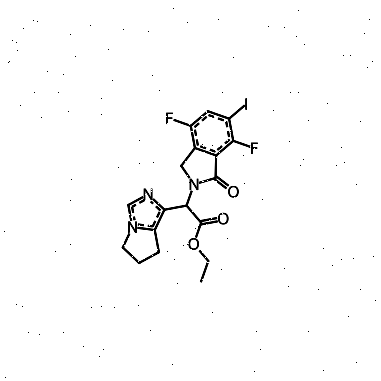 CCOC(=O)C(c1ncn2c1CCC2)N1Cc2c(F)cc(I)c(F)c2C1=O